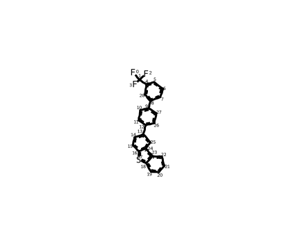 FC(F)(F)c1cccc(-c2ccc(-c3ccc4sc5ccccc5c4c3)cc2)c1